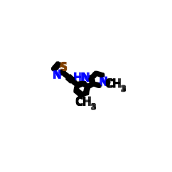 Cc1cc(C#Cc2nccs2)c2[nH]c3c(c2c1)CN(C)CC3